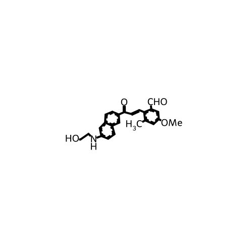 COc1cc(C)c(/C=C/C(=O)c2ccc3cc(NCCO)ccc3c2)c(C=O)c1